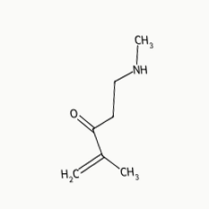 C=C(C)C(=O)CCNC